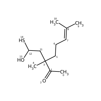 CC(=O)C(C)(CCC=C(C)C)CC(O)S